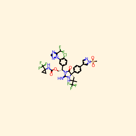 CC(C)(C[C@]1(c2ccc(-c3cnn(S(C)(=O)=O)c3)cc2)NC(=N)N([C@H](COC(=O)NC2(C(F)(F)F)CC2)c2ccc(Cl)c(-n3ncnc3C(F)F)c2)C1=O)C(F)(F)F